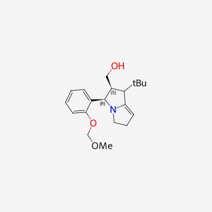 COCOc1ccccc1[C@H]1[C@@H](CO)C(C(C)(C)C)C2=CCCN21